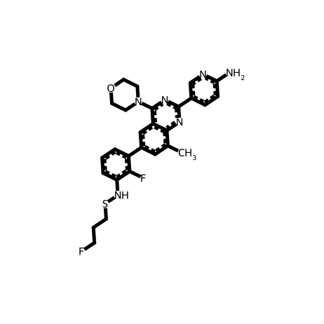 Cc1cc(-c2cccc(NSCCCF)c2F)cc2c(N3CCOCC3)nc(-c3ccc(N)nc3)nc12